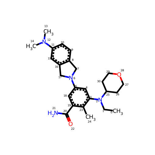 CCN(c1cc(N2Cc3ccc(N(C)C)cc3C2)cc(C(N)=O)c1C)C1CCOCC1